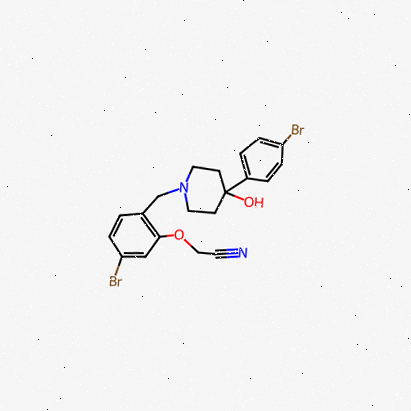 N#CCOc1cc(Br)ccc1CN1CCC(O)(c2ccc(Br)cc2)CC1